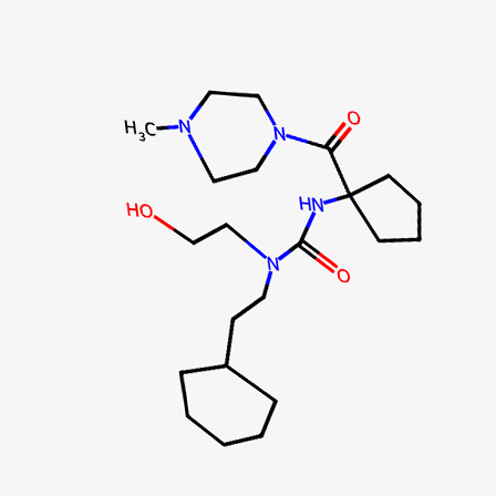 CN1CCN(C(=O)C2(NC(=O)N(CCO)CCC3CCCCC3)CCCC2)CC1